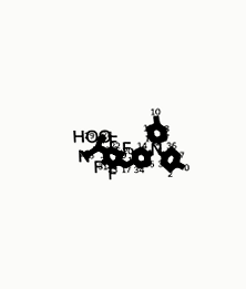 Cc1ccc(N(c2ccc(C)cc2)c2ccc(C=c3c(F)c(F)c(=C(C#N)C(=O)O)c(F)c3F)cc2)cc1